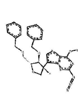 CCOc1nc(N=[N+]=[N-])nn2c([C@]3(F)CO[C@H](COCc4ccccc4)[C@H]3OCc3ccccc3)cnc12